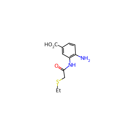 CCSCC(=O)Nc1cc(C(=O)O)ccc1N